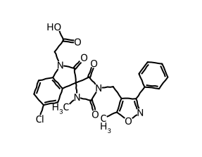 Cc1onc(-c2ccccc2)c1CN1C(=O)N(C)C2(C1=O)C(=O)N(CC(=O)O)c1ccc(Cl)cc12